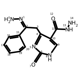 N/N=C(/Cc1nc(=O)[nH]cc1C(=O)NN)c1ccccc1